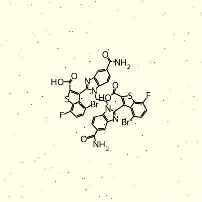 NC(=O)c1ccc2c(c1)nc(-c1c(C(=O)O)sc3c(F)ccc(Br)c13)n2CCn1c(-c2c(C(=O)O)sc3c(F)ccc(Br)c23)nc2cc(C(N)=O)ccc21